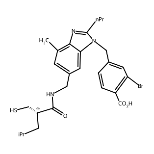 CCCc1nc2c(C)cc(CNC(=O)[C@@H](CS)CC(C)C)cc2n1Cc1ccc(C(=O)O)c(Br)c1